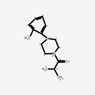 Cc1ccccc1N1CCN(C(=O)C(C)C)CC1